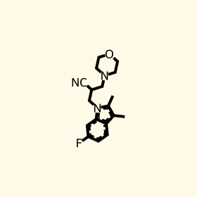 Cc1c(C)n(CC(C#N)CN2CCOCC2)c2cc(F)ccc12